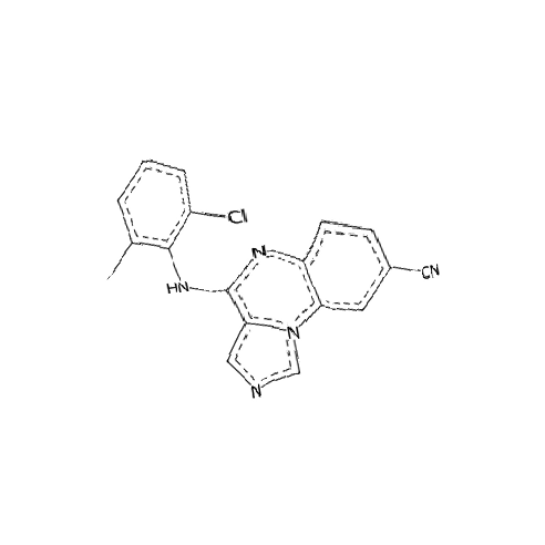 Cc1cccc(Cl)c1Nc1nc2ccc(C#N)cc2n2cncc12